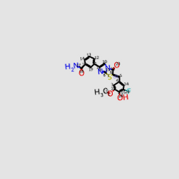 COc1cc(/C=c2\sc3nc(-c4cccc(C(N)=O)c4)cn3c2=O)cc(F)c1O